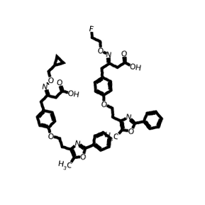 Cc1oc(-c2ccccc2)nc1CCOc1ccc(C/C(CC(=O)O)=N/OCC2CC2)cc1.Cc1oc(-c2ccccc2)nc1CCOc1ccc(C/C(CC(=O)O)=N\OCCF)cc1